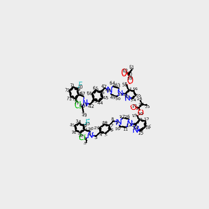 CCN(Cc1ccc(CN2CCN(c3ncccc3COC(=O)C(C)C)CC2)cc1)Cc1c(F)cccc1Cl.CCN(Cc1ccc(CN2CCN(c3ncccc3COC(C)=O)CC2)cc1)Cc1c(F)cccc1Cl